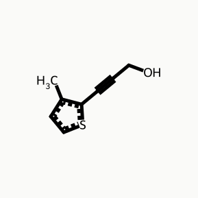 Cc1ccsc1C#CCO